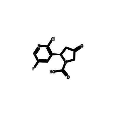 O=C1C[C@H](c2cc(F)cnc2Cl)N(C(=O)O)C1